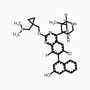 CC1[C@@H]2CC[C@@H](CN2)N1c1nc(OCC2(CN(C)C)CC2)nc2c(F)c(-c3cc(O)cc4ccccc34)c(Cl)cc12